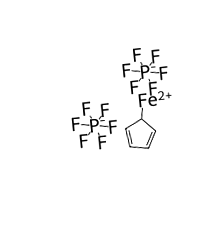 F[P-](F)(F)(F)(F)F.F[P-](F)(F)(F)(F)F.[Fe+2][CH]1C=CC=C1